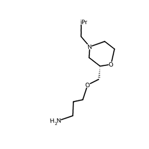 CC(C)CN1CCO[C@H](COCCCN)C1